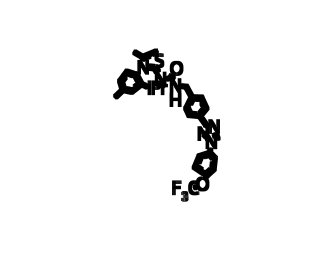 Cc1ccc(-n2c(C)csc2=NC(=O)NCc2ccc(-c3ncn(-c4ccc(OC(F)(F)F)cc4)n3)cc2)c(C(C)C)c1